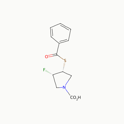 O=C(S[C@@H]1CN(C(=O)O)C[C@@H]1F)c1ccccc1